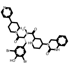 CN(C(=O)C1CC(N2Cc3ccccc3NC2=O)CCN1)[C@H](Cc1cc(Br)c(O)c(Br)c1)C(=O)N1CCC(c2ccncc2)CC1